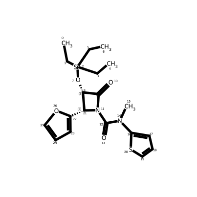 CC[Si](CC)(CC)O[C@@H]1C(=O)N(C(=O)N(C)c2cccs2)[C@@H]1c1ccco1